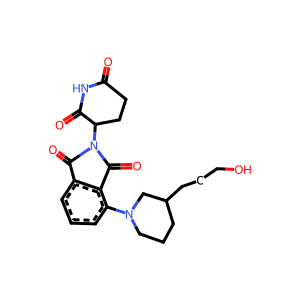 O=C1CCC(N2C(=O)c3cccc(N4CCCC(CCCO)C4)c3C2=O)C(=O)N1